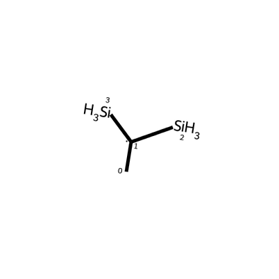 C[C]([SiH3])[SiH3]